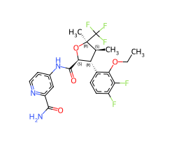 CCOc1c([C@@H]2[C@@H](C(=O)Nc3ccnc(C(N)=O)c3)O[C@@](C)(C(F)(F)F)[C@H]2C)ccc(F)c1F